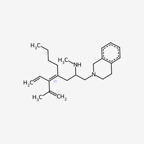 C=C/C(C(=C)C)=C(\CCCC)CC(CN1CCc2ccccc2C1)NC